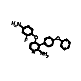 Nc1ccc(Oc2ccnc(N)c2-c2ccc(Oc3ccccc3)cc2)c(F)c1